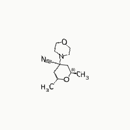 CC1CC(C#N)(N2CCOCC2)C[C@@H](C)O1